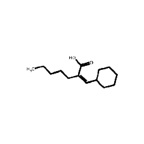 CCCCCC(=CC1CCCCC1)C(=O)O